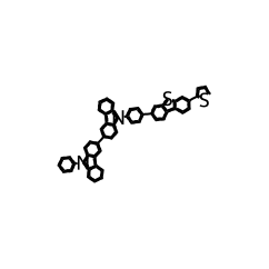 c1ccc(-n2c3ccccc3c3cc(-c4ccc5c(c4)c4ccccc4n5-c4ccc(-c5ccc6c(c5)sc5cc(-c7cccs7)ccc56)cc4)ccc32)cc1